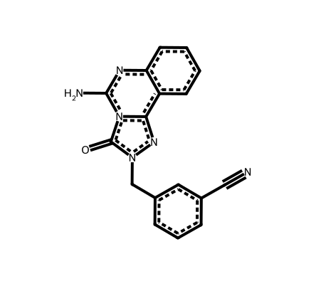 N#Cc1cccc(Cn2nc3c4ccccc4nc(N)n3c2=O)c1